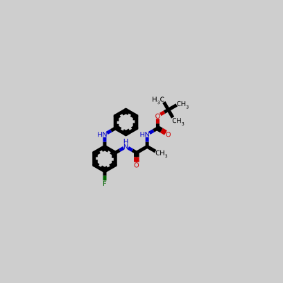 CC(NC(=O)OC(C)(C)C)C(=O)Nc1cc(F)ccc1Nc1ccccc1